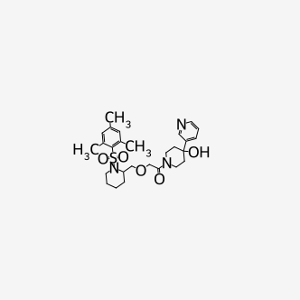 Cc1cc(C)c(S(=O)(=O)N2CCCCC2COCC(=O)N2CCC(O)(c3cccnc3)CC2)c(C)c1